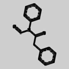 O=[C]N(C(=O)Cc1ccccc1)c1ccccc1